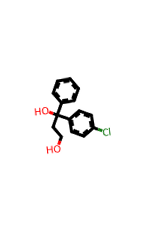 OCCC(O)(c1ccccc1)c1ccc(Cl)cc1